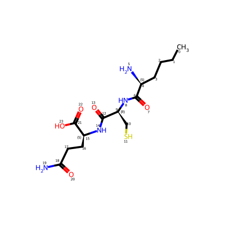 CCCC[C@H](N)C(=O)N[C@@H](CS)C(=O)N[C@@H](CCC(N)=O)C(=O)O